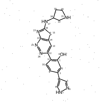 Oc1cc(-c2cn[nH]c2)ccc1-c1cc2sc(NC3CCNC3)nc2nn1